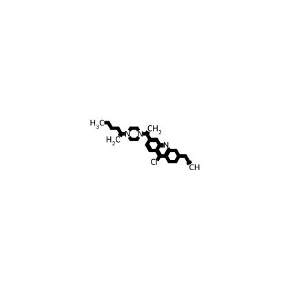 C#CCC1CCc2c(nc3cc(C(=C)N4CCN(C(=C)CCCC)CC4)ccc3c2Cl)C1